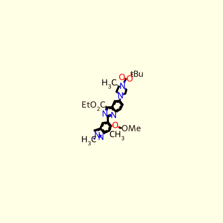 CCOC(=O)c1nc(-c2cc3cn(C)nc3c(C)c2OCOC)nc2ccc(N3CCN(C(=O)OC(C)(C)C)[C@@H](C)C3)cc12